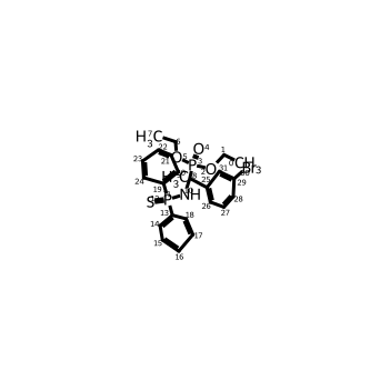 CCOP(=O)(OCC)[C@@](C)(NP(=S)(c1ccccc1)c1ccccc1)c1cccc(Br)c1